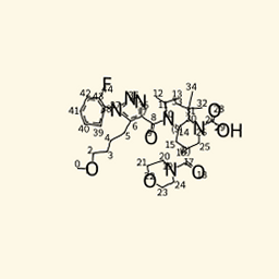 COCCCCc1c(C(=O)N(C(C)C)[C@H]2C[C@@H](C(=O)N3CCOCC3)CN(C(=O)O)C2C(C)(C)C)nnn1-c1ccccc1F